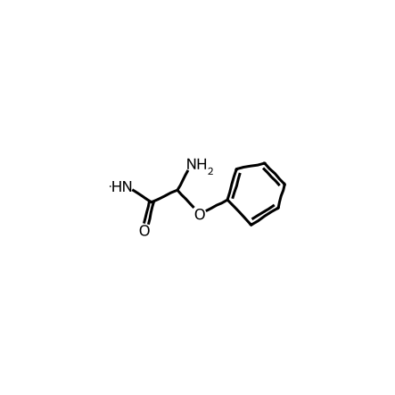 [NH]C(=O)C(N)Oc1ccccc1